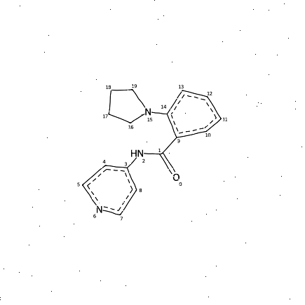 O=C(Nc1ccncc1)c1ccccc1N1CCCC1